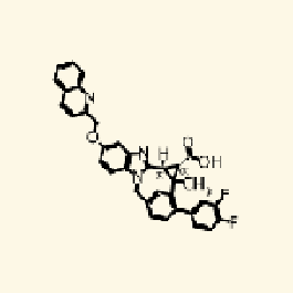 CC12c3cc(ccc3-c3ccc(F)c(F)c3)Cn3c(nc4cc(OCc5ccc6ccccc6n5)ccc43)[C@@H]1[C@@H]2C(=O)O